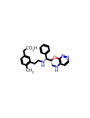 Cc1ccc(CC(=O)O)cc1CCN[C@H](c1ccccc1)[C@H]1CNc2ccnnc2O1